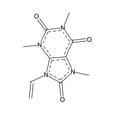 C=Cn1c(=O)n(C)c2c(=O)n(C)c(=O)n(C)c21